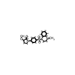 COC1CCN(c2ccc(S(=O)(=O)N3CCN(C)c4ccccc43)cc2)C1=O